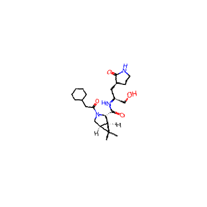 CC1(C)[C@@H]2[C@@H](C(=O)N[C@H](CO)C[C@@H]3CCNC3=O)N(C(=O)CC3CCCCC3)C[C@@H]21